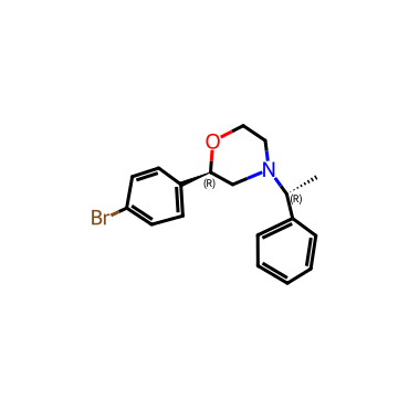 C[C@H](c1ccccc1)N1CCO[C@H](c2ccc(Br)cc2)C1